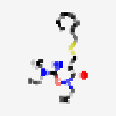 CN(C)C(=O)N[C@@H](CSCc1ccccc1)C(=O)NCC#N